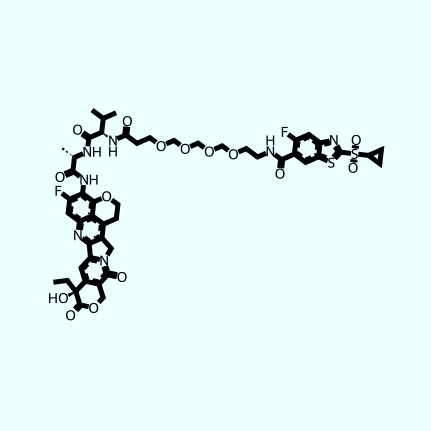 CC[C@@]1(O)C(=O)OCc2c1cc1n(c2=O)Cc2c-1nc1cc(F)c(NC(=O)[C@H](C)NC(=O)[C@@H](NC(=O)CCOCOCOCOCCNC(=O)c3cc4sc(S(=O)(=O)C5CC5)nc4cc3F)C(C)C)c3c1c2CCO3